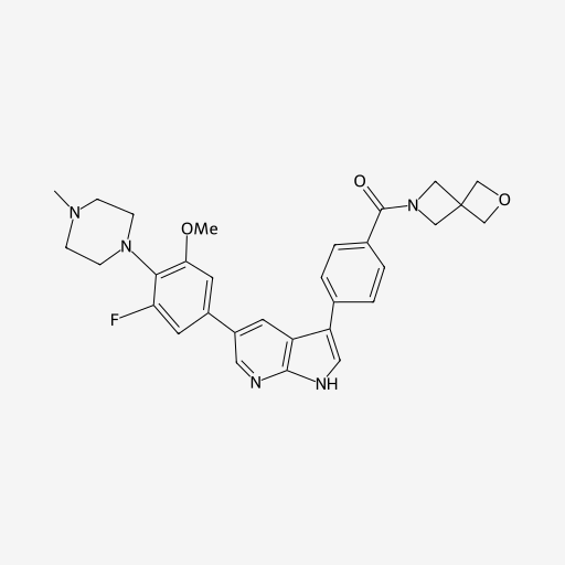 COc1cc(-c2cnc3[nH]cc(-c4ccc(C(=O)N5CC6(COC6)C5)cc4)c3c2)cc(F)c1N1CCN(C)CC1